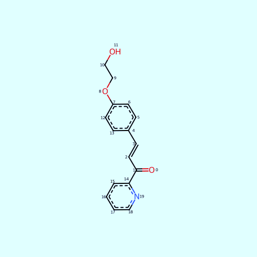 O=C(/C=C/c1ccc(OCCO)cc1)c1ccccn1